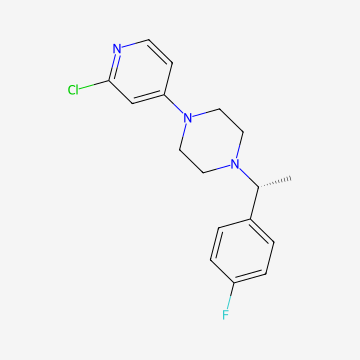 C[C@H](c1ccc(F)cc1)N1CCN(c2ccnc(Cl)c2)CC1